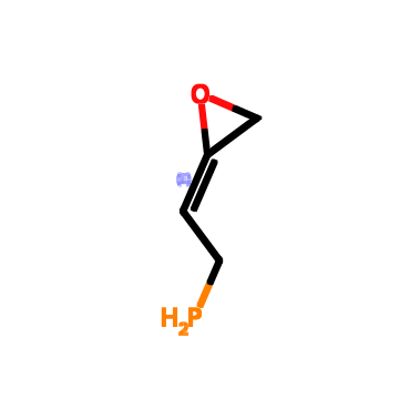 PC/C=C1\CO1